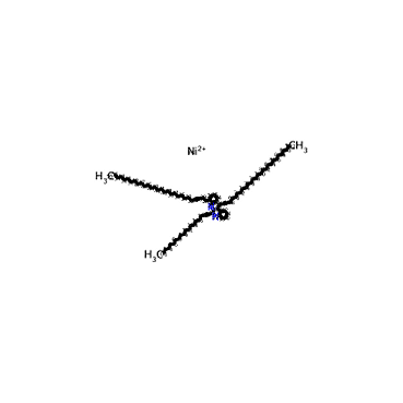 CCCCCCCCCCCCCCCCCC#CC(/C=N/c1ccccc1CCC#CCCCCCCCCCCCCCCCCCCCCCCCCC)=N/c1ccccc1CCC#CCCCCCCCCCCCCCCCCCCCCCCCCC.[Ni+2]